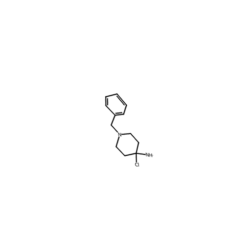 [NH]C1(Cl)CCN(Cc2ccccc2)CC1